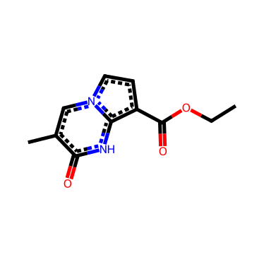 CCOC(=O)c1ccn2cc(C)c(=O)[nH]c12